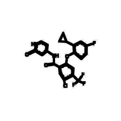 O=C(Nc1cc[nH]c(=O)c1)c1cc(Cl)c(C(F)(F)F)cc1Oc1ccc(F)cc1C1CC1